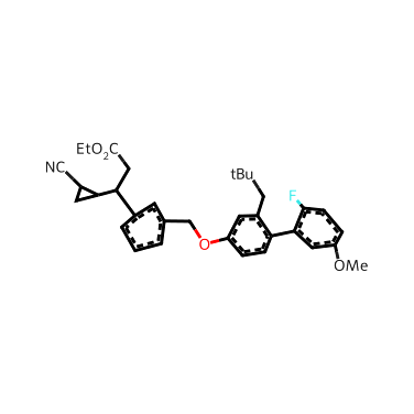 CCOC(=O)CC(c1cccc(COc2ccc(-c3cc(OC)ccc3F)c(CC(C)(C)C)c2)c1)C1CC1C#N